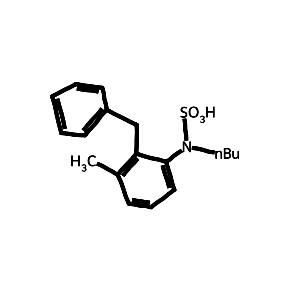 CCCCN(c1cccc(C)c1Cc1ccccc1)S(=O)(=O)O